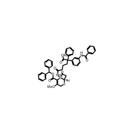 COC(=O)C(CCCC(=O)N[N+]12C(=O)C[C@@H]1SCC(OC)=C2C(=O)OC(c1ccccc1)c1ccccc1)(c1ccccc1)c1cccc(NC(=O)c2ccccc2)c1